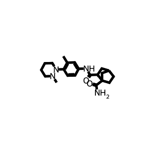 Cc1cc(NC(=O)[C]2CC3CCC2(C(N)=O)C3)ccc1N1CCCCN1C